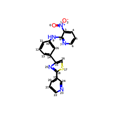 O=[N+]([O-])c1cccnc1Nc1cccc(-c2csc(-c3cccnc3)n2)c1